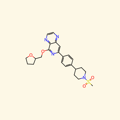 CS(=O)(=O)N1CCC(c2ccc(-c3cc4nccnc4c(OCC4CCCO4)n3)cc2)CC1